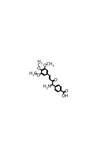 COc1cc(/C=C/C(=O)C(N)c2ccc(C(=O)O)cc2)cc(OC)c1OC